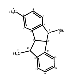 CCCCN1c2ccc(C)cc2C2C(C)c3ccccc3C21